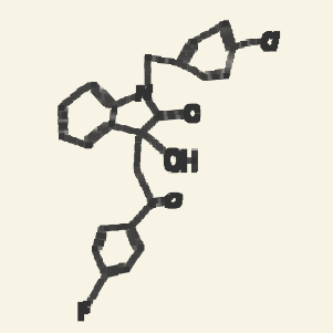 O=C(CC1(O)C(=O)N(Cc2ccc(Cl)cc2)c2ccccc21)c1ccc(F)cc1